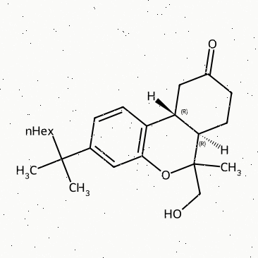 CCCCCCC(C)(C)c1ccc2c(c1)OC(C)(CO)[C@@H]1CCC(=O)C[C@@H]21